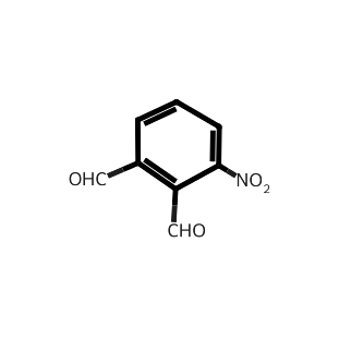 O=Cc1cccc([N+](=O)[O-])c1C=O